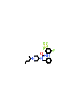 CCCC(C)N1CCC(N(Cc2ccccc2)C(=O)Nc2cc(F)cc(S(F)(F)(F)(F)F)c2)CC1